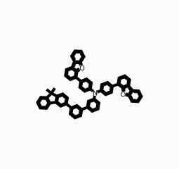 CC1(C)c2ccccc2-c2cc(-c3cccc(-c4cccc(N(c5ccc(-c6cccc7c6oc6ccccc67)cc5)c5ccc(-c6cccc7c6oc6ccccc67)cc5)c4)c3)ccc21